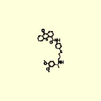 COc1ccc(C(C)NCCCSc2ccc(NC(=O)c3cccc4c(=O)c5ccccc5sc34)cc2)cc1OC